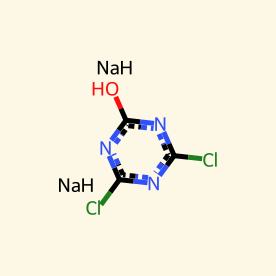 Oc1nc(Cl)nc(Cl)n1.[NaH].[NaH]